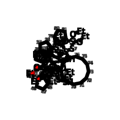 CCO[Si](OCC)(OCC)SS(SS)(/C1=C(\S(SS)(S[Si](OCC)(OCC)OCC)C2CC3CCC2C3)C(S(SS)(S[Si](OCC)(OCC)OCC)C2CC3CCC2C3)(S(SS)(S[Si](OCC)(OCC)OCC)C2CC3CCC2C3)CCCCCCCCC1)C1CC2CCC1C2